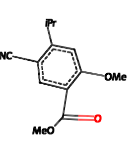 COC(=O)c1cc(C#N)c(C(C)C)cc1OC